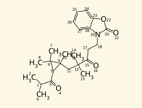 CC(C)C(=O)C1C(C)(C)C1(C)CC(C)(C)C(=O)CCn1c(=O)oc2ccccc21